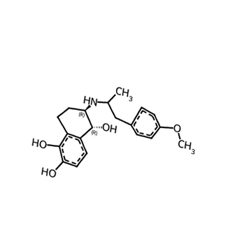 COc1ccc(CC(C)N[C@@H]2CCc3c(ccc(O)c3O)[C@H]2O)cc1